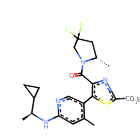 CCOC(=O)c1nc(C(=O)N2CC(F)(F)C[C@@H]2C)c(-c2cnc(N[C@@H](C)C3CC3)cc2C)s1